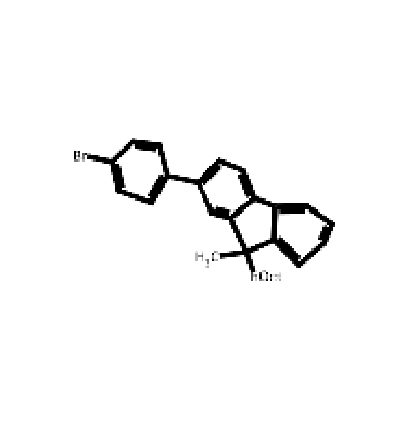 CCCCCCCCC1(C)c2ccccc2-c2ccc(-c3ccc(Br)cc3)cc21